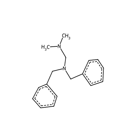 CN(C)CN(Cc1ccccc1)Cc1ccccc1